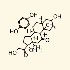 C[C@]12CC[C@@H](O)C[C@H]1CC[C@@H]1[C@@H]2C(=O)C[C@@]2(C)[C@H]1CC[C@]2(O)C(=O)CO.Oc1ccc(O)cc1